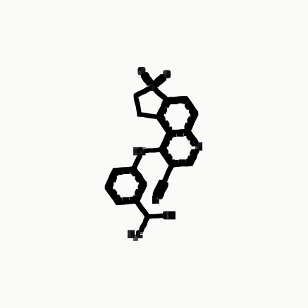 CC(O)c1cccc(Nc2c(C#N)cnc3ccc4c(c23)CCS4(=O)=O)c1